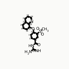 CS(=O)(=O)c1cc(C(=O)NC(=N)N)ccc1Oc1cccc2cccnc12